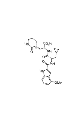 COc1cccc2[nH]c(C(=O)NC(CC3CC3)C(=O)NC(C[C@@H]3CCCNC3=O)C(=O)O)cc12